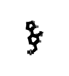 NCc1ccc(-c2ccsn2)c(Br)c1